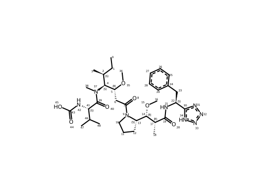 CC[C@H](C)[C@@H]([C@@H](CC(=O)N1CCC[C@H]1[C@H](OC)[C@@H](C)C(=O)N[C@@H](Cc1ccccc1)c1nnn[nH]1)OC)N(C)C(=O)[C@@H](NC(=O)O)C(C)C